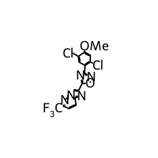 COc1cc(Cl)c(-c2noc(-c3cn4nc(C(F)(F)F)ccc4n3)n2)cc1Cl